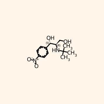 CC(C)(C)N[C@H](CO)[C@@H](O)c1ccc([N+](=O)[O-])cc1